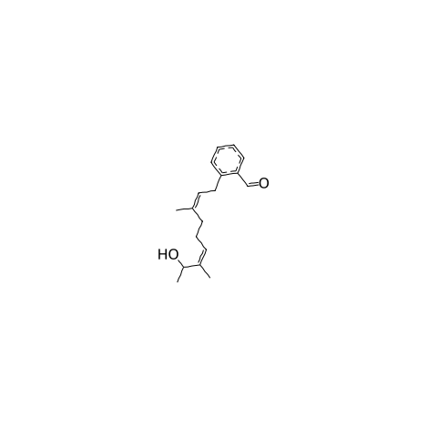 CC(=CCc1ccccc1C=O)CCC=C(C)C(C)O